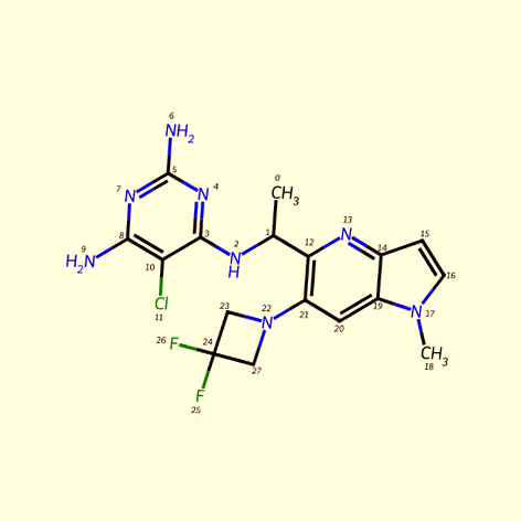 CC(Nc1nc(N)nc(N)c1Cl)c1nc2ccn(C)c2cc1N1CC(F)(F)C1